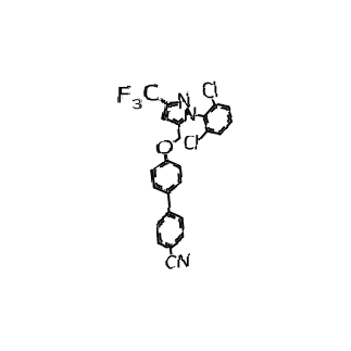 N#Cc1ccc(-c2ccc(OCc3cc(C(F)(F)F)nn3-c3c(Cl)cccc3Cl)cc2)cc1